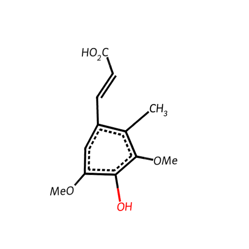 COc1cc(C=CC(=O)O)c(C)c(OC)c1O